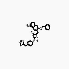 O=C1N=C(Nc2ccc(CC3N=NN=N3)cc2)SC1=Cc1cc2ccccc2cc1OCc1ccccc1.[NaH]